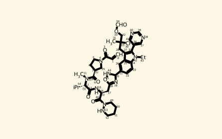 C=CC(=O)N1CC[C@H](C(=O)N(C)[C@H](C(=O)N[C@@H](CC2=NC(c3ccc4c(c3)c(CC(C)(C)COC=O)c(-c3cncnc3)n4CC)NO2)C(=O)N2CCCCN2)C(C)C)C1